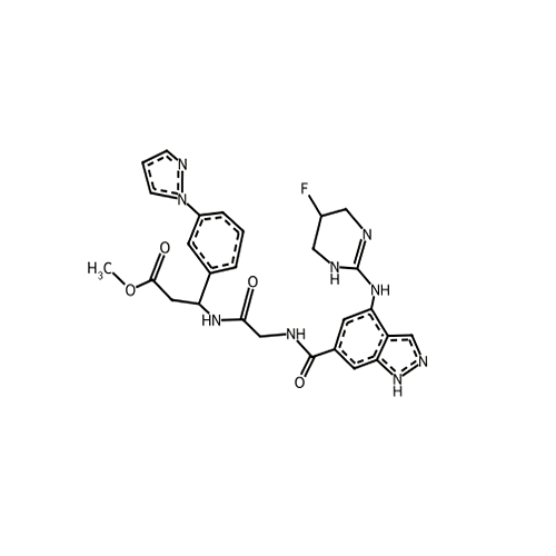 COC(=O)CC(NC(=O)CNC(=O)c1cc(NC2=NCC(F)CN2)c2cn[nH]c2c1)c1cccc(-n2cccn2)c1